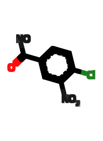 O=NC(=O)c1ccc(Cl)c([N+](=O)[O-])c1